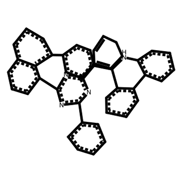 C1=CC(c2nc(-c3ccccc3)nc(-c3cccc4cccc(-c5ccc(C6Nc7ccccc7-c7ccccc76)cc5)c34)n2)=CCC1